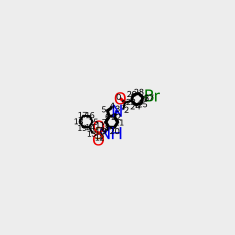 O=C(Cn1ccc2cc(NS(=O)(=O)CC3CCCCC3)ccc21)c1ccc(Br)cc1